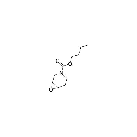 CCCCOC(=O)N1CCC2OC2C1